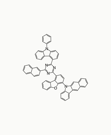 c1ccc(-n2c3ccccc3c3c(-c4nc(-c5ccc6ccccc6c5)nc(-c5ccc(-n6c7ccccc7c7cc8ccccc8cc76)c6oc7ccccc7c56)n4)cccc32)cc1